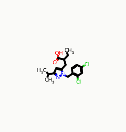 CCC(Cc1cc(C(C)C)nn1Cc1ccc(Cl)cc1Cl)C(=O)O